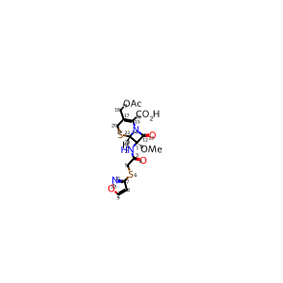 CO[C@@]1(NC(=O)CSc2ccon2)C(=O)N2C(C(=O)O)=C(COC(C)=O)CS[C@H]21